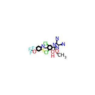 CCOCC1(c2cc(Cl)c(-c3nc4ccc(OC(F)(F)F)cc4s3)c(Cl)c2O)N=C(C#N)C(C#N)=N1